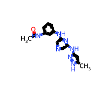 CC(=O)Nc1cccc(Nc2cncc(Nc3cc(C)[nH]n3)n2)c1